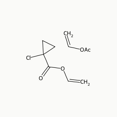 C=COC(=O)C1(Cl)CC1.C=COC(C)=O